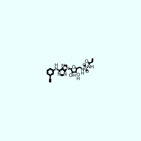 C#Cc1cccc(Nc2ncnc3c2ncn3C2OC(CNS(=O)(=O)NC(=O)C=C)C(O)C2O)c1